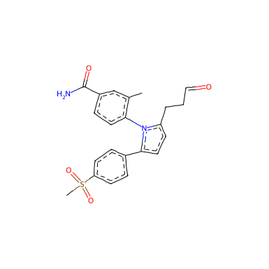 Cc1cc(C(N)=O)ccc1-n1c(CCC=O)ccc1-c1ccc(S(C)(=O)=O)cc1